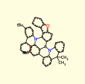 CC(C)(C)c1ccc(N2c3cc(C(C)(C)C)cc4c3B(c3ccc5oc6ccccc6c5c32)N2c3ccccc3C(C)(C)c3cccc-4c32)c(-c2ccccc2)c1